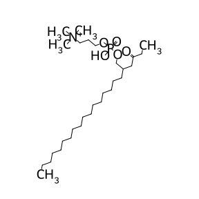 CCCCCCCCCCCCCCCCCC(COP(=O)(O)OCCC[N+](C)(C)C)CC(=O)CC